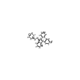 Fc1ccc(-c2c(-c3ccncc3)n(CCN3CCOCC3)c3cccnc23)cc1